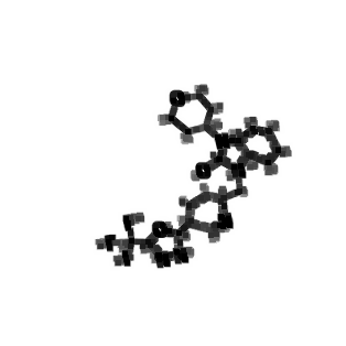 O=c1n(Cc2ccc(-c3nnc(C(F)(F)F)o3)cn2)c2ccccc2n1C1CCOCC1